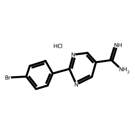 Cl.N=C(N)c1cnc(-c2ccc(Br)cc2)nc1